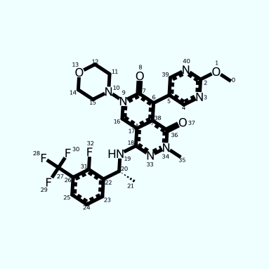 COc1ncc(-c2c(=O)n(N3CCOCC3)cc3c(N[C@H](C)c4cccc(C(F)(F)F)c4F)nn(C)c(=O)c23)cn1